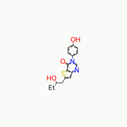 CCC(O)Cc1cc2ncn(-c3ccc(O)cc3)c(=O)c2s1